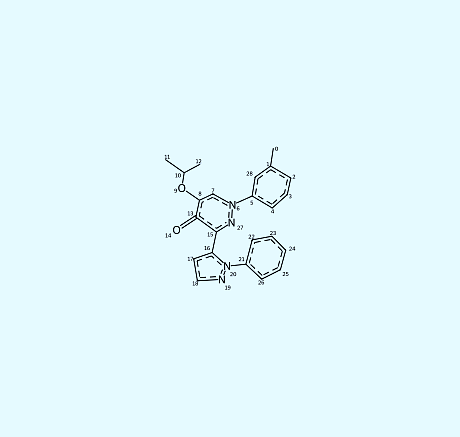 Cc1cccc(-n2cc(OC(C)C)c(=O)c(-c3ccnn3-c3ccccc3)n2)c1